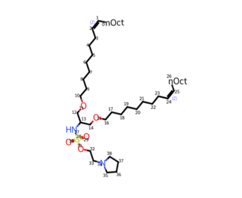 CCCCCCCC/C=C\CCCCCCCCOCC(COCCCCCCCC/C=C\CCCCCCCC)NS(=O)(=O)OCCN1CCCC1